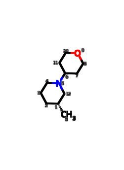 C[C@@H]1CCCN(C2CCOCC2)C1